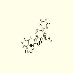 CCNC(=O)[C@H](Cc1ccccc1)N1CCC([C@H]2C=CC=CC2)C[C@H](N)C1=O